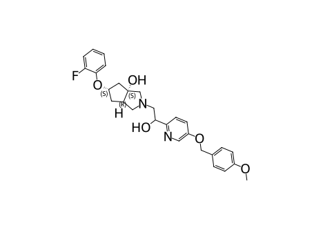 COc1ccc(COc2ccc(C(O)CN3C[C@H]4C[C@H](Oc5ccccc5F)C[C@@]4(O)C3)nc2)cc1